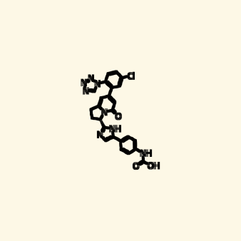 O=C(O)Nc1ccc(-c2cnc([C@H]3CCc4cc(-c5cc(Cl)ccc5-n5cnnn5)cc(=O)n43)[nH]2)cc1